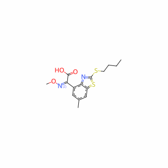 CCCCSc1nc2c(/C(=N/OC)C(=O)O)cc(C)cc2s1